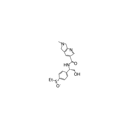 CC[S+]([O-])c1ccc([C@H](CO)NC(=O)c2cnc3c(c2)CN(C)C3)cc1